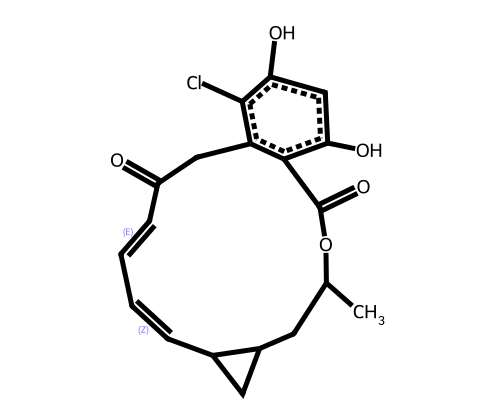 CC1CC2CC2/C=C\C=C\C(=O)Cc2c(Cl)c(O)cc(O)c2C(=O)O1